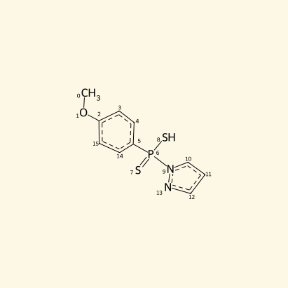 COc1ccc(P(=S)(S)n2cccn2)cc1